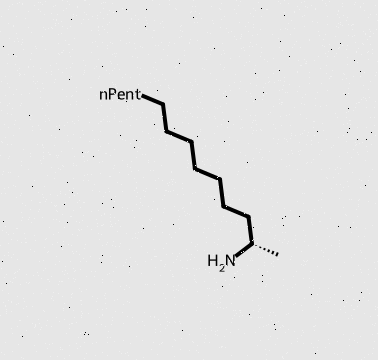 CCCCCCCCCCCC[C@H](C)N